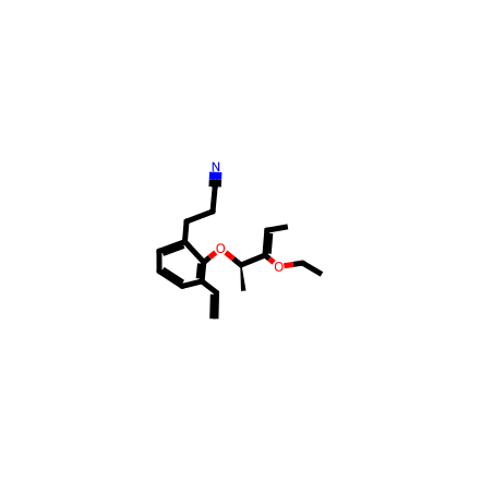 C=Cc1cccc(CCC#N)c1O[C@H](C)C(=CC)OCC